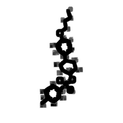 CCCCOc1ccc(C2CCC(OS(=O)(=O)c3ccc(C)cc3)CC2)cc1